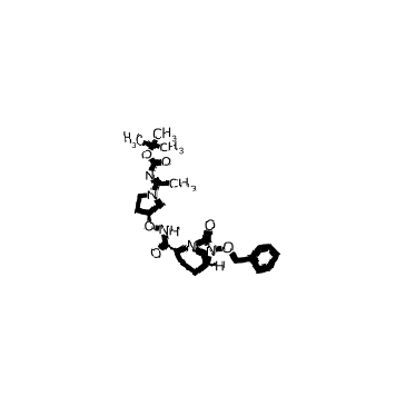 C/C(=N\C(=O)OC(C)(C)C)N1CC[C@H](ONC(=O)[C@@H]2CC[C@@H]3CN2C(=O)N3OCc2ccccc2)C1